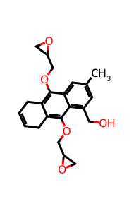 Cc1cc(CO)c2c(OCC3CO3)c3c(c(OCC4CO4)c2c1)CC=CC3